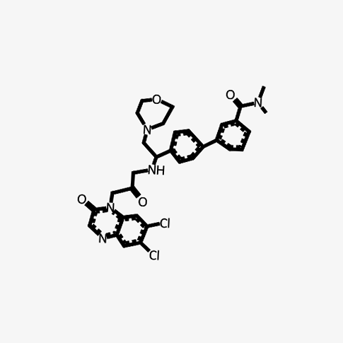 CN(C)C(=O)c1cccc(-c2ccc(C(CN3CCOCC3)NCC(=O)Cn3c(=O)cnc4cc(Cl)c(Cl)cc43)cc2)c1